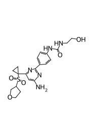 Nc1cc(C2(S(=O)(=O)C3CCOC3)CC2)nc(-c2ccc(NC(=O)NCCO)cc2)n1